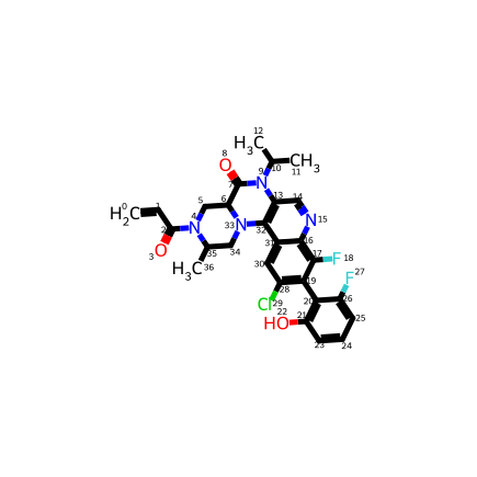 C=CC(=O)N1CC2C(=O)N(C(C)C)c3cnc4c(F)c(-c5c(O)cccc5F)c(Cl)cc4c3N2CC1C